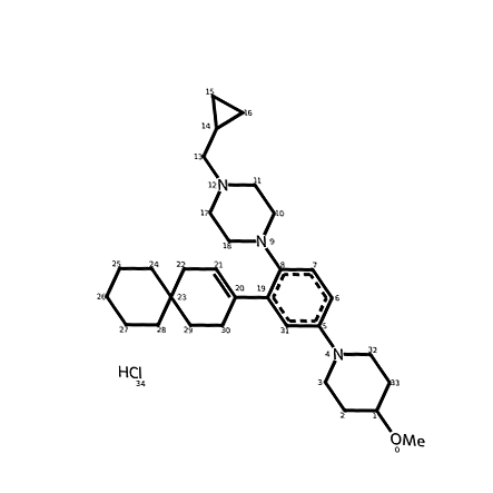 COC1CCN(c2ccc(N3CCN(CC4CC4)CC3)c(C3=CCC4(CCCCC4)CC3)c2)CC1.Cl